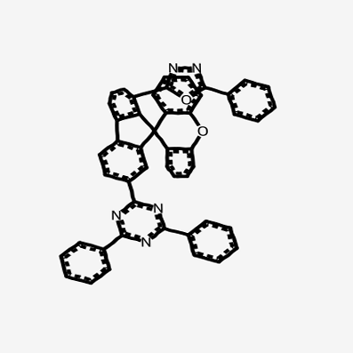 c1ccc(-c2nc(-c3ccccc3)nc(-c3ccc4c(c3)C3(c5ccccc5Oc5ccccc53)c3c(-c5nnc(-c6ccccc6)o5)cccc3-4)n2)cc1